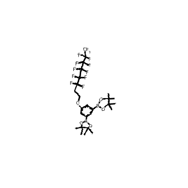 CC1(C)OB(c2cc(OCCC(F)(F)C(F)(F)C(F)(F)C(F)(F)C(F)(F)C(F)(F)F)cc(B3OC(C)(C)C(C)(C)O3)c2)OC1(C)C